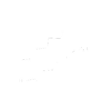 CCCSCCC.NC(=O)OCCCCO